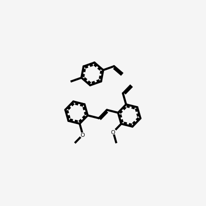 C=Cc1ccc(C)cc1.C=Cc1cccc(OC)c1C=Cc1ccccc1OC